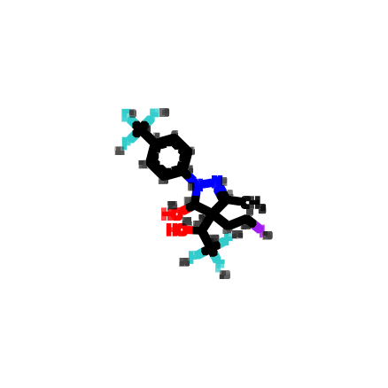 CC1=NN(c2ccc(C(F)(F)F)cc2)C(O)C1(CCI)C(O)C(F)(F)F